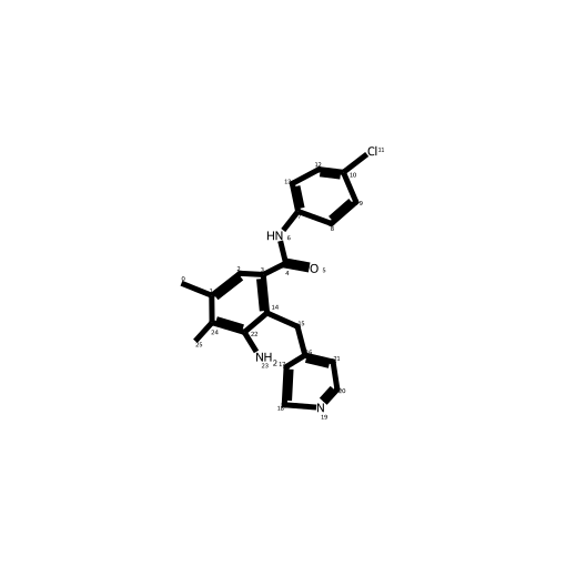 Cc1cc(C(=O)Nc2ccc(Cl)cc2)c(Cc2ccncc2)c(N)c1C